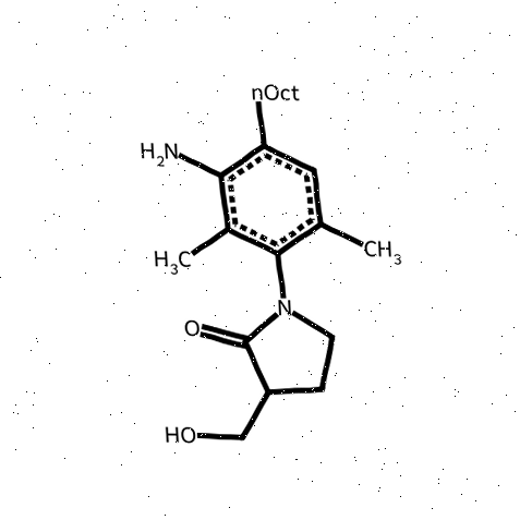 CCCCCCCCc1cc(C)c(N2CCC(CO)C2=O)c(C)c1N